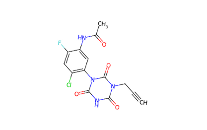 C#CCn1c(=O)[nH]c(=O)n(-c2cc(NC(C)=O)c(F)cc2Cl)c1=O